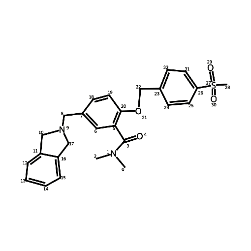 CN(C)C(=O)c1cc(CN2Cc3ccccc3C2)ccc1OCc1ccc(S(C)(=O)=O)cc1